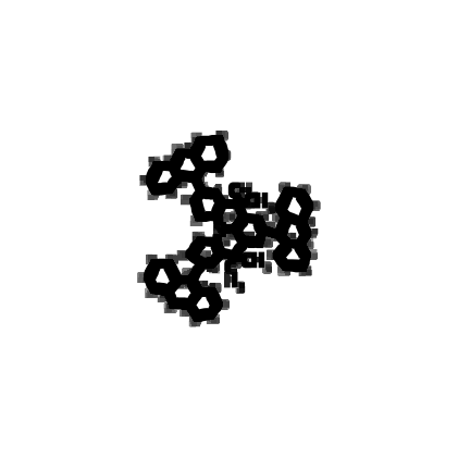 CC1(C)c2cc(-c3c4ccccc4cc4ccccc34)ccc2N2c3ccc(-c4c5ccccc5cc5ccccc45)cc3C(C)(C)c3cc(-c4c5ccccc5cc5ccccc45)cc1c32